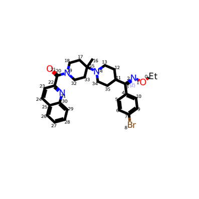 CCO/N=C(\c1ccc(Br)cc1)C1CCN(C2(C)CCN(C(=O)c3ccc4ccccc4n3)CC2)CC1